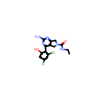 CCNC(=O)N1Cc2nc(N)nc(-c3c(O)cc(Cl)cc3Cl)c2C1